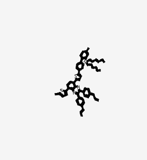 CCCCCC[Si]1(CCCCCC)c2cc(C)ccc2-c2ccc(-c3ccc(-c4ccc(-c5ccc(C)s5)c5nc(-c6ccc(CCC)cc6)c(-c6ccc(CCC)cc6)nc45)s3)cc21